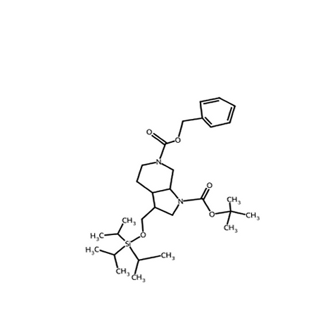 CC(C)[Si](OCC1CN(C(=O)OC(C)(C)C)C2CN(C(=O)OCc3ccccc3)CCC12)(C(C)C)C(C)C